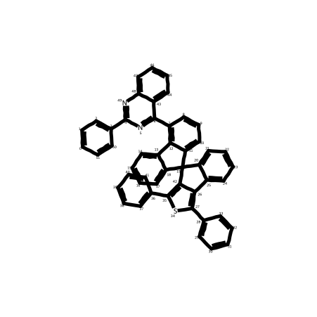 c1ccc(-c2nc(-c3cccc4c3-c3ccccc3C43c4ccccc4-c4c(-c5ccccc5)sc(-c5ccccc5)c43)c3ccccc3n2)cc1